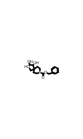 O=C(OCc1ccccc1)N1CCC(CO)(C(O)CO)CC1